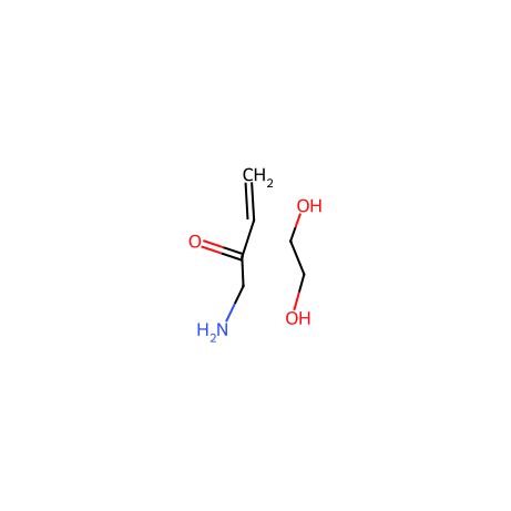 C=CC(=O)CN.OCCO